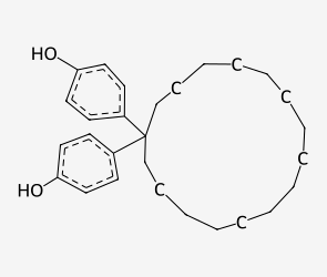 Oc1ccc(C2(c3ccc(O)cc3)CCCCCCCCCCCCCCC2)cc1